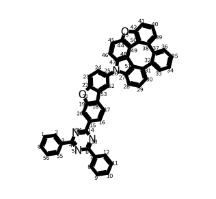 c1ccc(-c2nc(-c3ccccc3)nc(-c3ccc4c(c3)oc3ccc(-n5c6cccc7c8ccccc8c8cccc9oc%10ccc5c(c%10c98)c76)cc34)n2)cc1